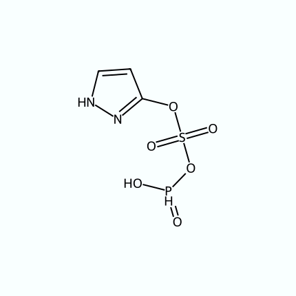 O=[PH](O)OS(=O)(=O)Oc1cc[nH]n1